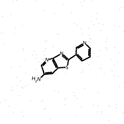 Nc1cnc2nc(-c3cccnc3)sc2c1